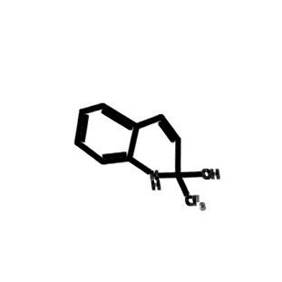 OC1(C(F)(F)F)C=Cc2ccccc2N1